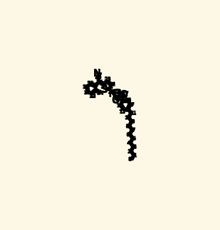 CCCCCCCCCCCCc1ccc(S(=O)(=O)O/N=C2C=C/C(=C(\C#N)c3ccccc3C)S\2)cc1